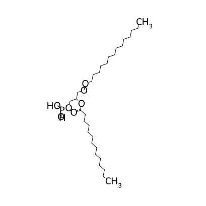 CCCCCCCCCCCCCCOOCC(CO[PH](=O)O)OC(=O)CCCCCCCCCCCCC